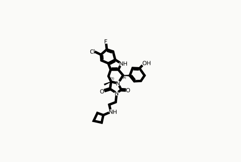 C[C@@]12Cc3c([nH]c4cc(F)c(Cl)cc34)[C@@H](C3=CCCC(O)=C3)N1C(=O)N(CCNC1CCC1)C2=O